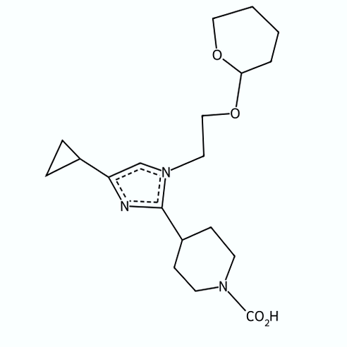 O=C(O)N1CCC(c2nc(C3CC3)cn2CCOC2CCCCO2)CC1